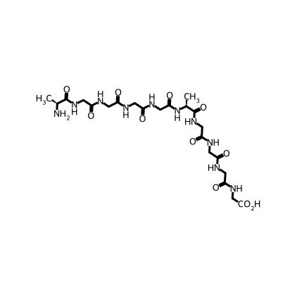 C[C@H](N)C(=O)NCC(=O)NCC(=O)NCC(=O)NCC(=O)N[C@@H](C)C(=O)NCC(=O)NCC(=O)NCC(=O)NCC(=O)O